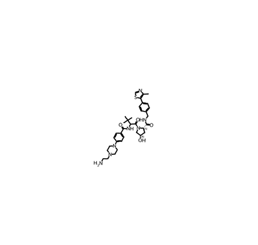 Cc1ncsc1-c1ccc(CNC(=O)[C@@H]2C[C@@H](O)CN2C(=O)C(NC(=O)c2ccc(N3CCN(CCN)CC3)cc2)C(C)(C)C)cc1